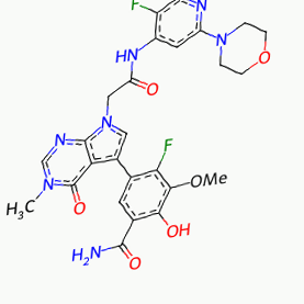 COc1c(O)c(C(N)=O)cc(-c2cn(CC(=O)Nc3cc(N4CCOCC4)ncc3F)c3ncn(C)c(=O)c23)c1F